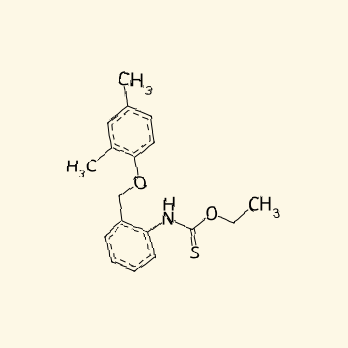 CCOC(=S)Nc1ccccc1COc1ccc(C)cc1C